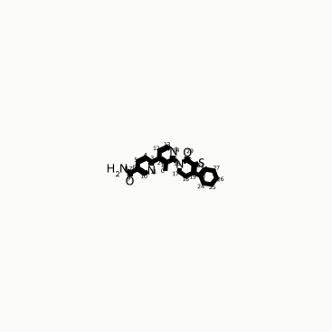 Cc1c(-c2ccc(C(N)=O)cn2)ccnc1N1CCc2c(sc3c2CCCC3)C1=O